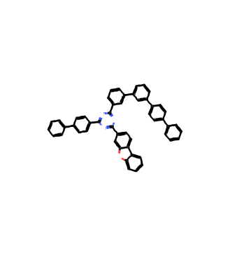 c1ccc(-c2ccc(-c3cccc(-c4cccc(-c5nc(-c6ccc(-c7ccccc7)cc6)nc(-c6ccc7c(c6)oc6ccccc67)n5)c4)c3)cc2)cc1